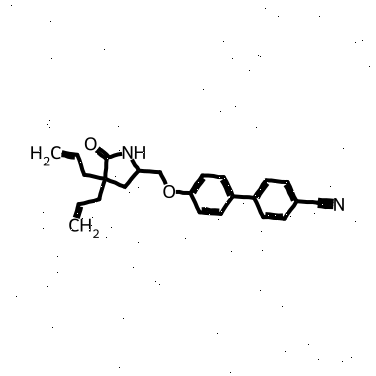 C=CCC1(CC=C)CC(COc2ccc(-c3ccc(C#N)cc3)cc2)NC1=O